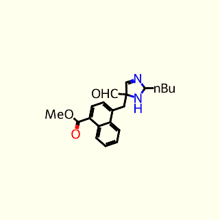 CCCCC1N=CC(C=O)(Cc2ccc(C(=O)OC)c3ccccc23)N1